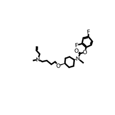 C=CCN(C)CCCCO[C@H]1CC[C@H](N(C)C(=O)Oc2ccc(F)cc2F)CC1